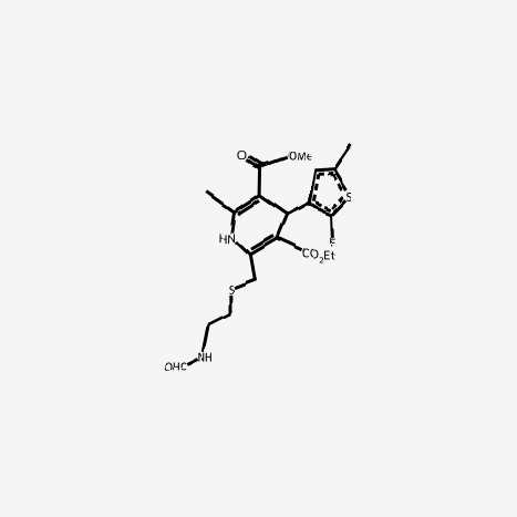 CCOC(=O)C1=C(CSCCNC=O)NC(C)=C(C(=O)OC)C1c1cc(C)sc1F